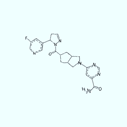 NC(=O)c1cc(N2CC3CC(C(=O)N4N=CCC4c4cncc(F)c4)CC3C2)ncn1